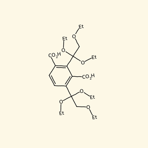 CCOCC(OCC)(OCC)c1ccc(C(=O)O)c(C(COCC)(OCC)OCC)c1C(=O)O